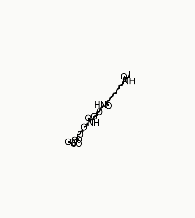 O=C(CI)NCCCCCCCCCCCC(=O)NCCOCCOCC(=O)NCCOCCOCC(=O)ON1C(=O)CCC1=O